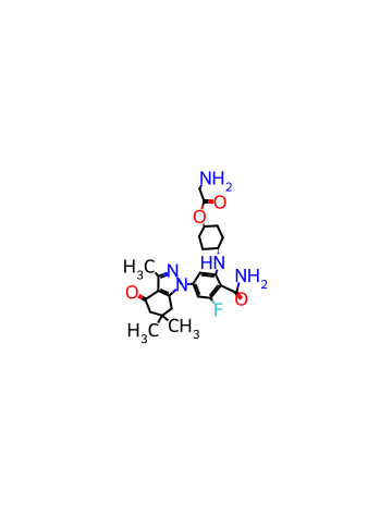 Cc1nn(-c2cc(F)c(C(N)=O)c(N[C@H]3CC[C@H](OC(=O)CN)CC3)c2)c2c1C(=O)CC(C)(C)C2